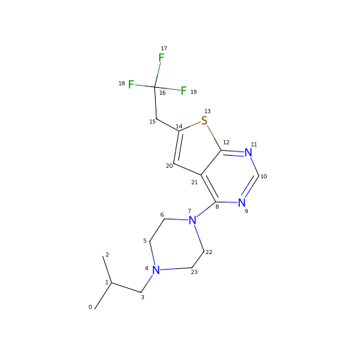 CC(C)CN1CCN(c2ncnc3sc(CC(F)(F)F)cc23)CC1